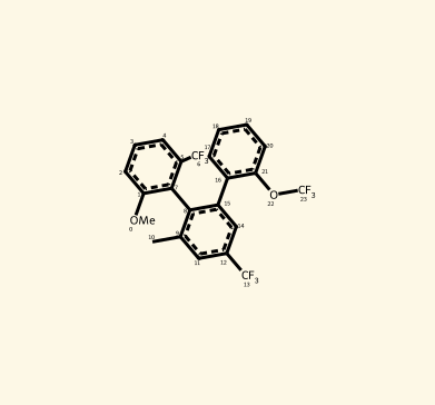 COc1cccc(C(F)(F)F)c1-c1c(C)[c]c(C(F)(F)F)cc1-c1ccccc1OC(F)(F)F